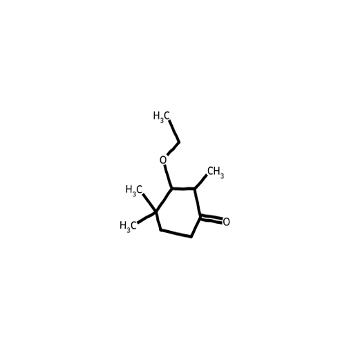 CCO[C]1C(C)C(=O)CCC1(C)C